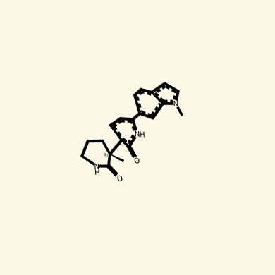 Cn1ccc2ccc(-c3ccc([C@@]4(C)CCCNC4=O)c(=O)[nH]3)cc21